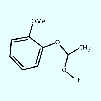 [CH2]C(OCC)Oc1ccccc1OC